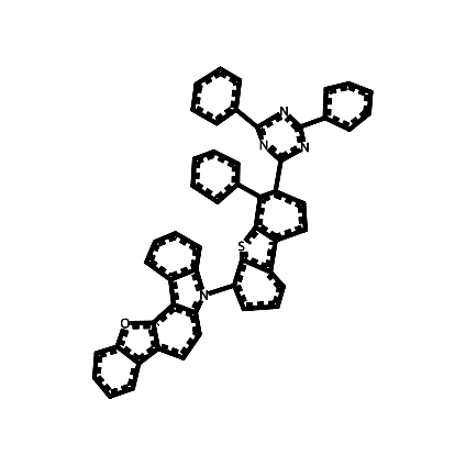 c1ccc(-c2nc(-c3ccccc3)nc(-c3ccc4c(sc5c(-n6c7ccccc7c7c8oc9ccccc9c8ccc76)cccc54)c3-c3ccccc3)n2)cc1